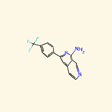 Nc1nc(-c2ccc(C(F)(F)F)cc2)cc2ccncc12